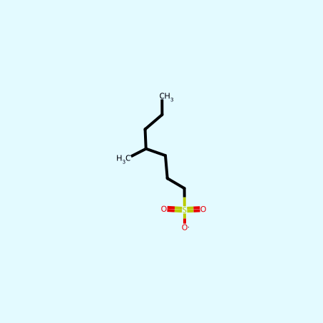 CCCC(C)CCCS([O])(=O)=O